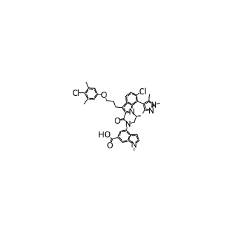 Cc1cc(OCCCc2c3n(c4c(-c5c(C)nn(C)c5C)c(Cl)ccc24)[C@@H](C)CN(c2cc(C(=O)O)cc4c2ccn4C)C3=O)cc(C)c1Cl